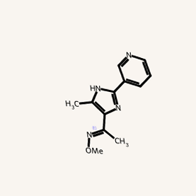 CO/N=C(\C)c1nc(-c2cccnc2)[nH]c1C